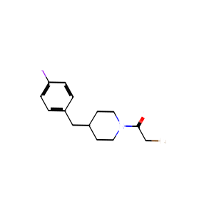 O=C(CBr)N1CCC(Cc2ccc(I)cc2)CC1